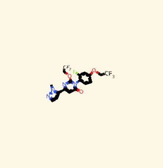 Cn1nccc1-c1cc(=O)n(-c2ccc(OCC(F)(F)F)cc2F)c(OCC(F)(F)F)n1